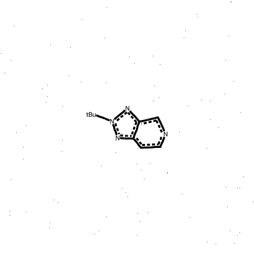 CC(C)(C)n1nc2ccncc2n1